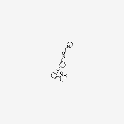 CC=C(C(=O)OC)c1ccccc1COc1cccc(C=NOCCN2CCCCC2)c1